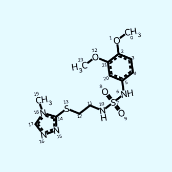 COc1ccc(NS(=O)(=O)NCCSc2nncn2C)cc1OC